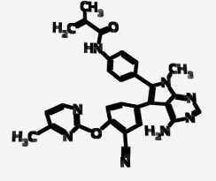 C=C(C)C(=O)Nc1ccc(-c2c(-c3ccc(Oc4nccc(C)n4)c(C#N)c3)c3c(N)ncnc3n2C)cc1